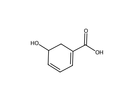 O=C(O)C1=CC=CC(O)C1